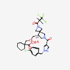 CC(C)(C(=O)N1CC2(CN(C(=O)c3cnn(Cc4ccc(F)cc4)c3)C[C@H]2COCC2(C(=O)O)CCCCC2)C1)C(F)(F)F